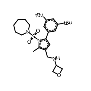 Cc1c(CNC2COC2)cc(-c2cc(C(C)(C)C)cc(C(C)(C)C)c2)n1S(=O)(=O)N1CCCCCC1